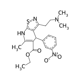 CCOC(=O)C1=C(C)Nc2snc(CCN(C)C)c2C1c1cccc([N+](=O)[O-])c1